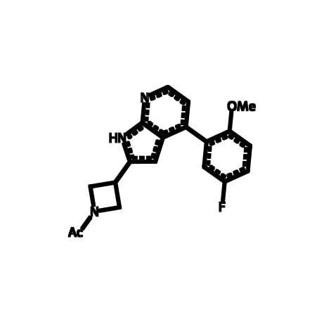 COc1ccc(F)cc1-c1ccnc2[nH]c(C3CN(C(C)=O)C3)cc12